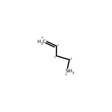 C=CC[CH][SiH3]